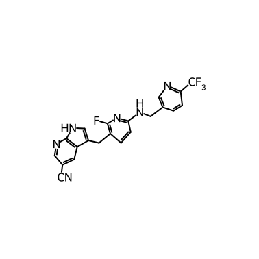 N#Cc1cnc2[nH]cc(Cc3ccc(NCc4ccc(C(F)(F)F)nc4)nc3F)c2c1